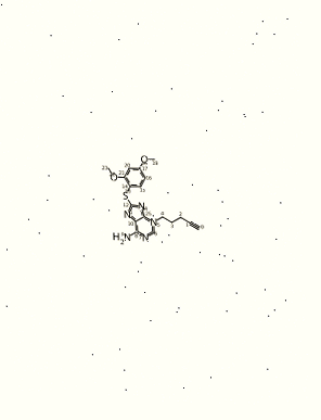 C#CCCCn1cnc(N)c2nc(Sc3ccc(OC)cc3OC)nc1-2